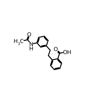 CC(=O)Nc1cccc(CCc2ccccc2C(=O)O)c1